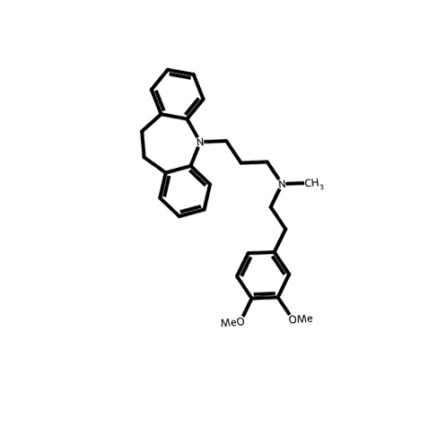 COc1ccc(CCN(C)CCCN2c3ccccc3CCc3ccccc32)cc1OC